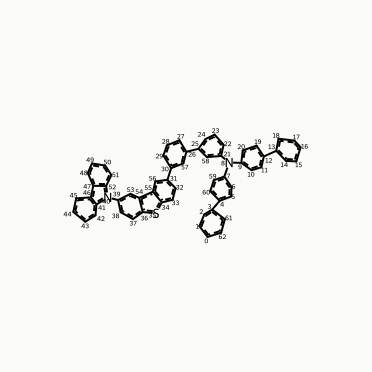 c1ccc(-c2ccc(N(c3ccc(-c4ccccc4)cc3)c3cccc(-c4cccc(-c5ccc6sc7ccc(-n8c9ccccc9c9ccccc98)cc7c6c5)c4)c3)cc2)cc1